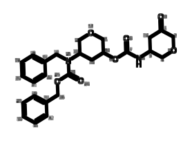 O=C1COCC(NC(=O)OC2COCC(N(Cc3ccccc3)C(=O)OCc3ccccc3)C2)C1